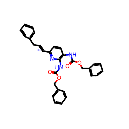 O=C(Nc1ccc(/C=C/Cc2ccccc2)nc1NC(=O)OCc1ccccc1)OCc1ccccc1